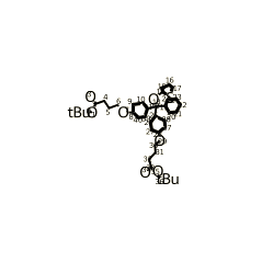 CC(C)(C)OC(=O)CCCOc1ccc(C(Oc2cccs2)(c2ccccc2)c2ccc(OCCCC(=O)OC(C)(C)C)cc2)cc1